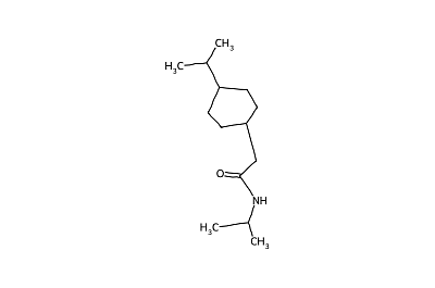 CC(C)NC(=O)CC1CCC(C(C)C)CC1